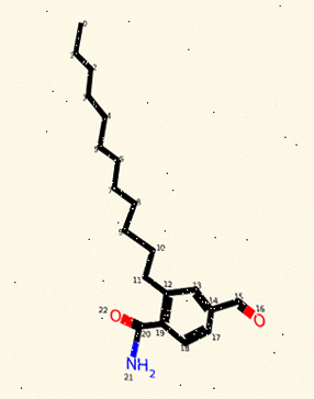 CCCCCCCCCCCCc1cc(C=O)ccc1C(N)=O